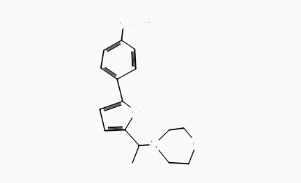 CC(c1ccc(-c2ccc(C(=O)O)cc2)o1)N1CCOCC1